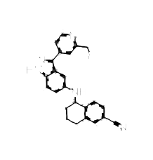 CCc1cc(-c2n[nH]c3ccc(NC4CCCc5cc(C#N)ccc54)cc23)ccn1